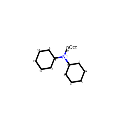 CCCCCCCCN(C1CCCCC1)C1CCCCC1